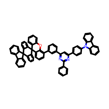 c1ccc(-c2nc(-c3ccc(-n4c5ccccc5c5ccccc54)cc3)cc(-c3cccc(-c4cccc5c4Oc4ccccc4C54c5ccccc5C5(c6ccccc6-c6ccccc65)c5ccccc54)c3)n2)cc1